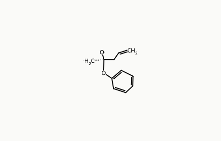 [CH2][C@]([O])(CC=C)Oc1ccccc1